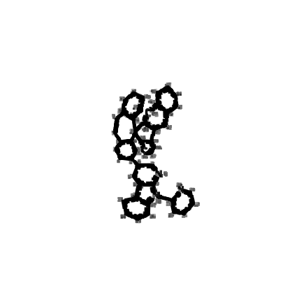 C1=Cc2ccc(-c3cnc4c(c3)c3ccccc3n4-c3ccccn3)cc2C2(c3ccccc31)c1ccccc1-c1cc3ccccc3cc12